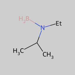 BN(CC)C(C)C